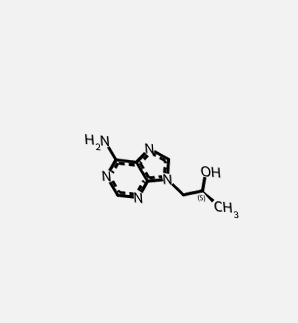 C[C@H](O)Cn1cnc2c(N)ncnc21